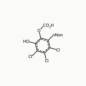 CCCCCCCCCc1c(Cl)c(Cl)c(Cl)c(O)c1OC(=O)O